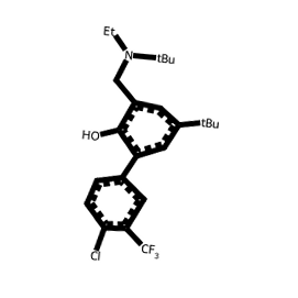 CCN(Cc1cc(C(C)(C)C)cc(-c2ccc(Cl)c(C(F)(F)F)c2)c1O)C(C)(C)C